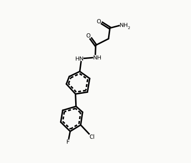 NC(=O)CC(=O)NNc1ccc(-c2ccc(F)c(Cl)c2)cc1